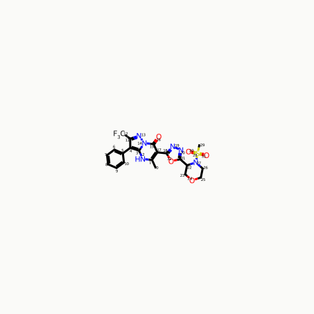 Cc1[nH]c2c(-c3ccccc3)c(C(F)(F)F)nn2c(=O)c1-c1nnc(C2COCCN2S(C)(=O)=O)o1